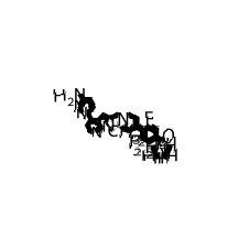 [2H]C([2H])([2H])N(C(=O)c1cc(F)c(C2=CCN(Cc3cc4c(-c5ccc(N)nn5)ccnc4n3C)CC2)c(F)c1)C([2H])([2H])[2H]